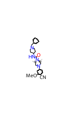 COc1cc(N2C[C@@H](C)N(C(=O)NC3CCN(Cc4ccccc4)CC3)[C@@H](C)C2)ccc1C#N